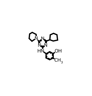 Cc1ccc(Nc2nc(C3CCCCC3)nc(N3CCCCC3)n2)cc1O